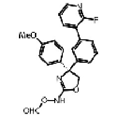 COc1ccc([C@]2(c3cccc(-c4cccnc4F)c3)COC(NOC=O)=N2)cc1